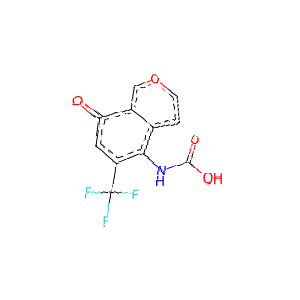 O=C(O)Nc1c2ccocc-2c(=O)cc1C(F)(F)F